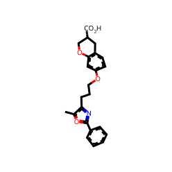 Cc1oc(-c2ccccc2)nc1CCCOc1ccc2c(c1)OCC(C(=O)O)C2